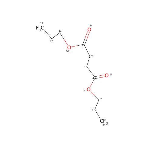 O=C(CCC(=O)OCCC(F)(F)F)OCCC(F)(F)F